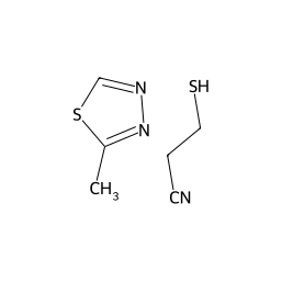 Cc1nncs1.N#CCCS